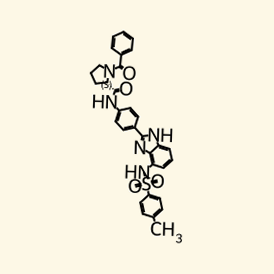 Cc1ccc(S(=O)(=O)Nc2cccc3[nH]c(-c4ccc(NC(=O)[C@@H]5CCCN5C(=O)c5ccccc5)cc4)nc23)cc1